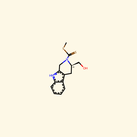 CSC(=S)N1Cc2[nH]c3ccccc3c2C[C@@H]1CO